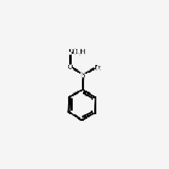 CCN(OS(=O)(=O)O)c1ccccc1